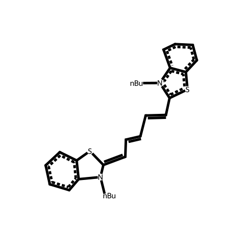 CCCCN1/C(=C/C=C/C=C/c2sc3ccccc3[n+]2CCCC)Sc2ccccc21